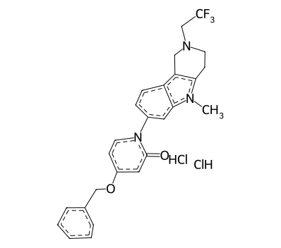 Cl.Cl.Cn1c2c(c3ccc(-n4ccc(OCc5ccccc5)cc4=O)cc31)CN(CC(F)(F)F)CC2